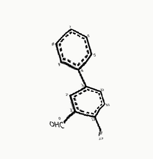 O=Cc1cc(-c2ccccc2)ccc1F